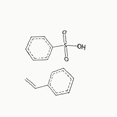 C=Cc1ccccc1.O=S(=O)(O)c1ccccc1